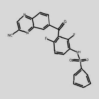 N#Cc1cnc2ccc(C(=O)c3c(F)ccc(NS(=O)(=O)c4ccccc4)c3F)cc2n1